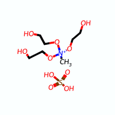 C[N+](OCCO)(OCCO)OCCO.O=S(=O)(O)O